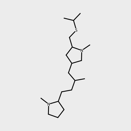 CC(CCC1CCCN1C)CC1CC(CSC(C)C)N(C)C1